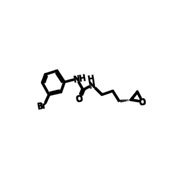 O=C(NCCC[C@@H]1CO1)Nc1cccc(Br)c1